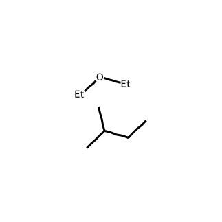 CCC(C)C.CCOCC